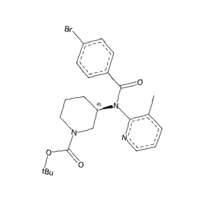 Cc1cccnc1N(C(=O)c1ccc(Br)cc1)[C@@H]1CCCN(C(=O)OC(C)(C)C)C1